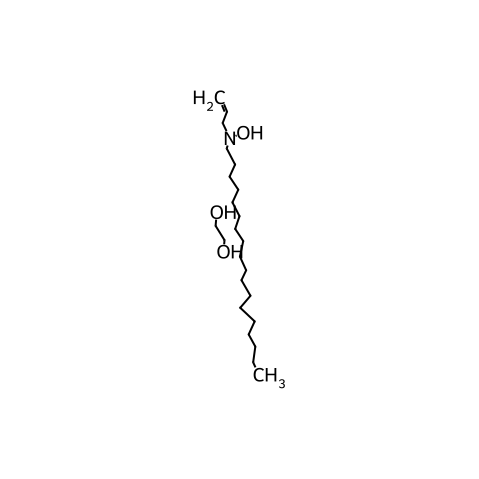 C=CCN(O)CCCCCCCCCCCCCCCCCC.OCCO